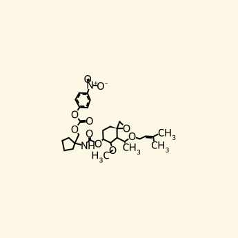 COC1C(OC(=O)NC2(COC(=O)Oc3ccc([N+](=O)[O-])cc3)CCCC2)CC[C@]2(CO2)C1[C@H](C)OCC=C(C)C